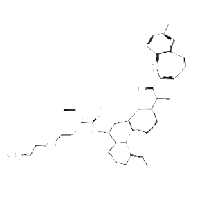 CCC1CCCC2C(OC(=O)[C@@H](CC)CCOCCO)CC3CC(C(C)C(=O)C4=CCCC5C=C(C)C=CC5=N4)CCC3C12